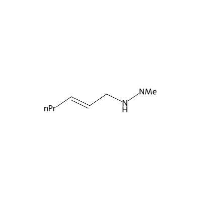 CCCC=CCNNC